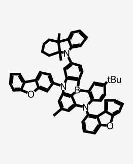 Cc1cc2c3c(c1)N(c1cccc4oc5ccccc5c14)c1ccc(C(C)(C)C)cc1B3c1ccc(N3c4ccccc4C4(C)CCCCC34C)cc1N2c1ccc2c(c1)oc1ccccc12